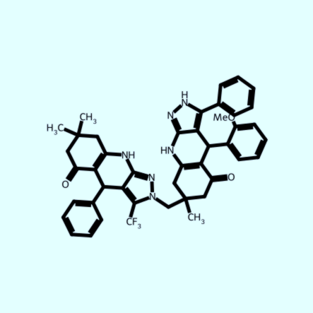 COc1ccccc1C1C2=C(CC(C)(Cn3nc4c(c3C(F)(F)F)C(c3ccccc3)C3=C(CC(C)(C)CC3=O)N4)CC2=O)Nc2n[nH]c(-c3ccccc3)c21